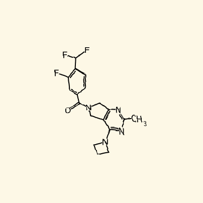 Cc1nc2c(c(N3CCC3)n1)CN(C(=O)c1ccc(C(F)F)c(F)c1)C2